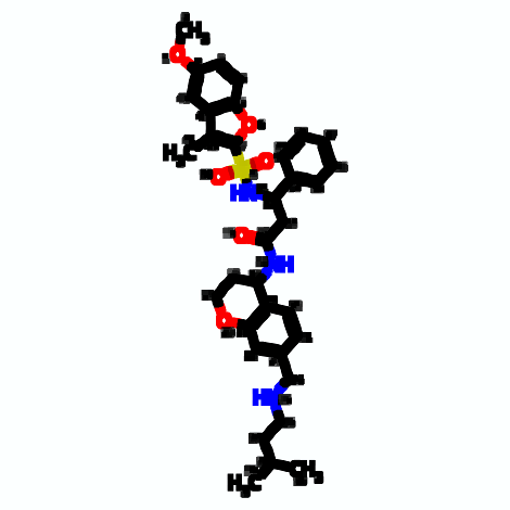 COc1ccc2oc(S(=O)(=O)NC(CC(=O)NC3CCOc4cc(CNCCC(C)C)ccc43)c3ccccc3)c(C)c2c1